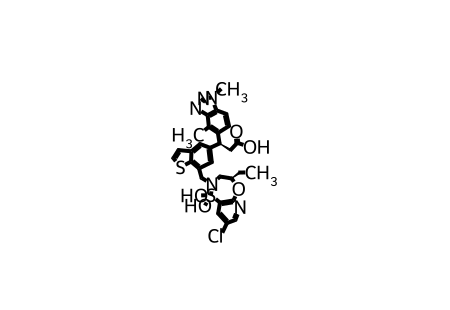 CC[C@@H]1CN(Cc2cc([C@H](CC(=O)O)c3ccc4c(nnn4C)c3C)cc3ccsc23)S(O)(O)c2cc(Cl)cnc2O1